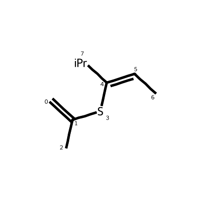 C=C(C)S/C(=C\C)C(C)C